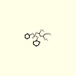 CCC(C)CC(C)OP(=O)(Oc1ccccc1)Oc1ccccc1